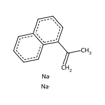 C=C(C)c1cccc2ccccc12.[Na].[Na]